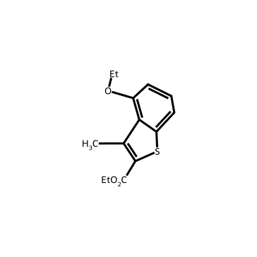 CCOC(=O)c1sc2cccc(OCC)c2c1C